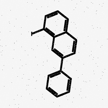 Ic1cccc2ccc(-c3ccccc3)cc12